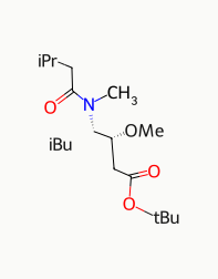 CC[C@H](C)[C@@H]([C@@H](CC(=O)OC(C)(C)C)OC)N(C)C(=O)CC(C)C